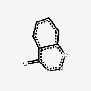 O=c1pnoc2ccccc12